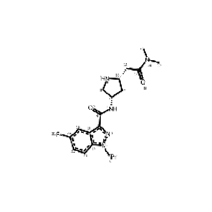 CC(C)n1nc(C(=O)N[C@@H]2CN[C@H](CC(=O)N(C)C)C2)c2cc(F)ccc21